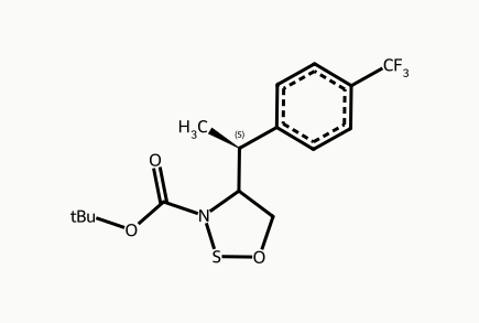 C[C@@H](c1ccc(C(F)(F)F)cc1)C1COSN1C(=O)OC(C)(C)C